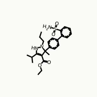 CCCN1NC(C(C)C)=C(C(=O)OCC)C1(C)c1ccc(-c2ccccc2S(N)(=O)=O)cc1